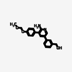 COCOc1ccc(-c2cc(-c3cccc(CO)c3)cnc2N)cc1